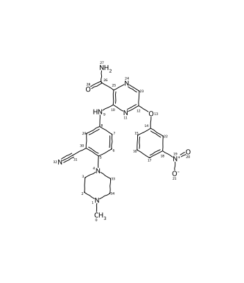 CN1CCN(c2ccc(Nc3nc(Oc4cccc([N+](=O)[O-])c4)cnc3C(N)=O)cc2C#N)CC1